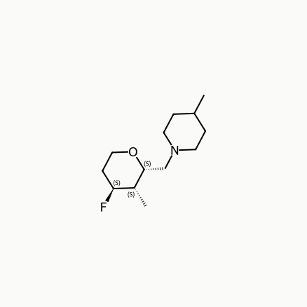 CC1CCN(C[C@H]2OCC[C@H](F)[C@H]2C)CC1